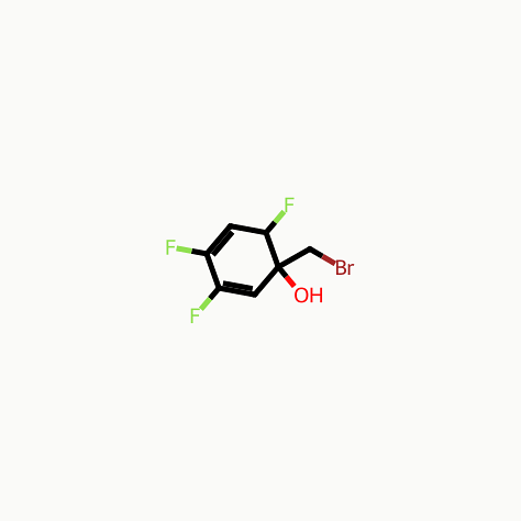 OC1(CBr)C=C(F)C(F)=CC1F